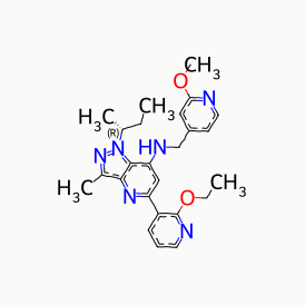 CCOc1ncccc1-c1cc(NCc2ccnc(OC)c2)c2c(n1)c(C)nn2[C@H](C)CC